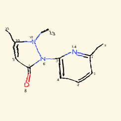 Cc1cccc(-n2c(=O)cc(C)n2C)n1